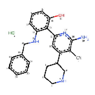 Cl.N#Cc1c(C2CCCNC2)cc(-c2c(O)cccc2NCc2ccccc2)nc1N